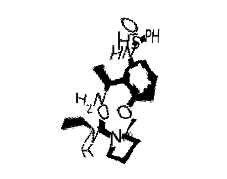 C=C(N)c1c(N[SH](=O)=P)cccc1OC[C@H]1CCCN1C(=O)NCC